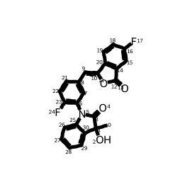 CC1(O)C(=O)N(c2cc(C=C3OC(=O)c4cc(F)ccc43)ccc2F)c2ccccc21